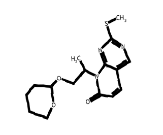 CSc1ncc2ccc(=O)n(C(C)COC3CCCCO3)c2n1